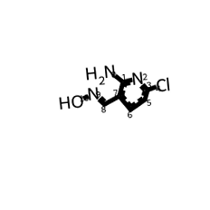 Nc1nc(Cl)ccc1/C=N/O